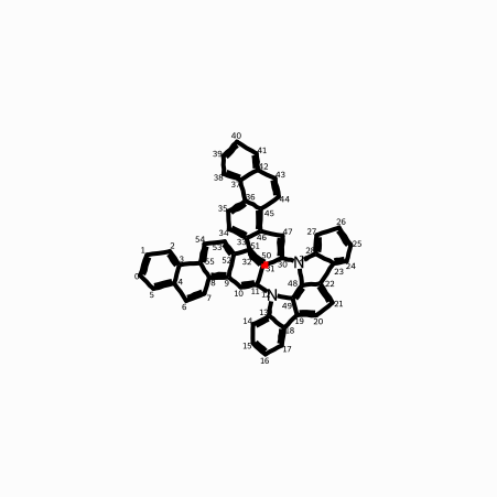 c1ccc2c(c1)ccc1c3cc(-n4c5ccccc5c5ccc6c7ccccc7n(-c7ccc8ccc9c%10ccccc%10ccc9c8c7)c6c54)ccc3ccc21